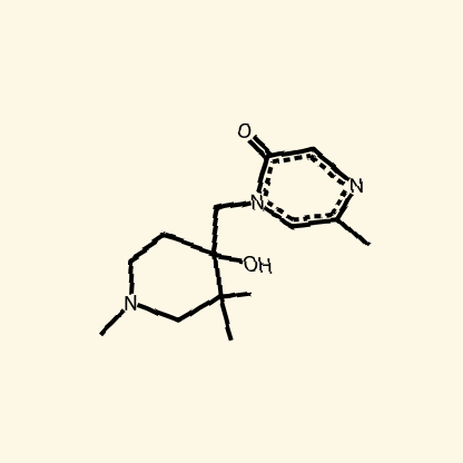 Cc1cn(CC2(O)CCN(C)CC2(C)C)c(=O)cn1